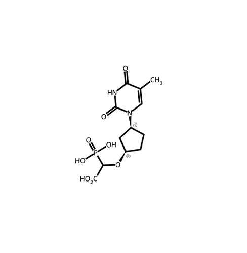 Cc1cn([C@H]2CC[C@@H](OC(C(=O)O)P(=O)(O)O)C2)c(=O)[nH]c1=O